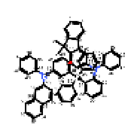 CC1(C)c2ccccc2-c2cc(N(c3ccccc3)c3ccccc3[Si](c3ccccc3)(c3ccccc3)c3cccc(N(c4ccccc4)c4ccc5ccccc5c4)c3)ccc21